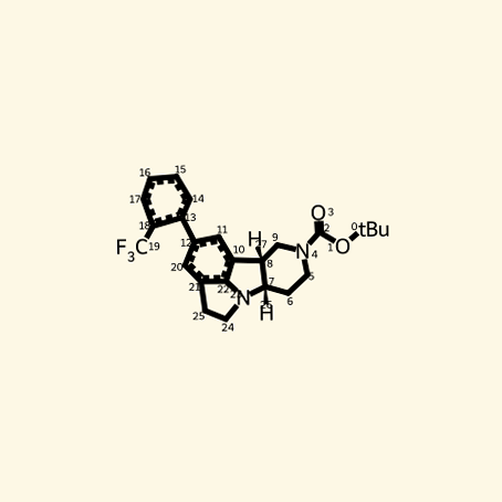 CC(C)(C)OC(=O)N1CC[C@H]2[C@@H](C1)c1cc(-c3ccccc3C(F)(F)F)cc3c1N2CC3